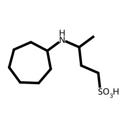 CC(CCS(=O)(=O)O)NC1CCCCCC1